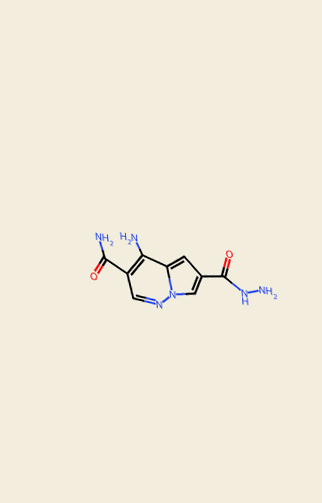 NNC(=O)c1cc2c(N)c(C(N)=O)cnn2c1